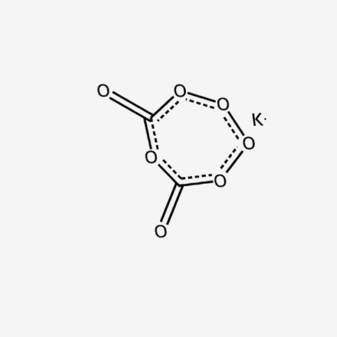 O=c1ooooc(=O)o1.[K]